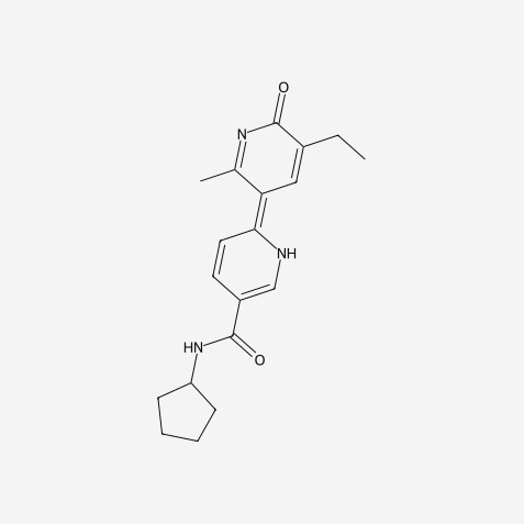 CCC1=CC(=C2C=CC(C(=O)NC3CCCC3)=CN2)C(C)=NC1=O